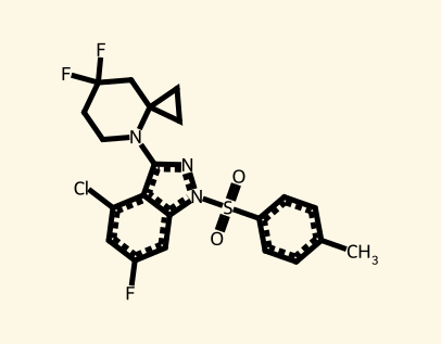 Cc1ccc(S(=O)(=O)n2nc(N3CCC(F)(F)CC34CC4)c3c(Cl)cc(F)cc32)cc1